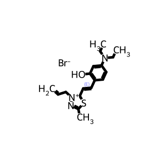 C=CC[n+]1nc(C)sc1/C=C/c1ccc(N(CC)CC)cc1O.[Br-]